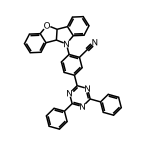 N#Cc1cc(-c2nc(-c3ccccc3)nc(-c3ccccc3)n2)ccc1N1c2ccccc2C2Oc3ccccc3C21